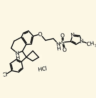 Cl.Cn1cnc(S(=O)(=O)NCCOc2ccc3c(c2)C(C2(c4ccc(Cl)cc4)CCC2)NCC3)c1